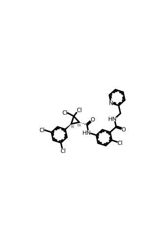 O=C(NCc1ccccn1)c1cc(NC(=O)[C@@H]2[C@@H](c3cc(Cl)cc(Cl)c3)C2(Cl)Cl)ccc1Cl